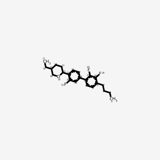 CCCCc1ccc(-c2ccc(C3CCC(CC)CO3)c(F)c2)c(F)c1F